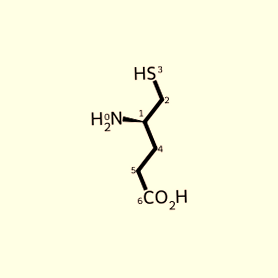 N[C@@H](CS)CCC(=O)O